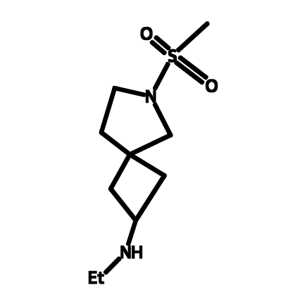 CCNC1CC2(CCN(S(C)(=O)=O)C2)C1